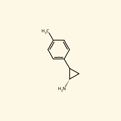 Cc1ccc(C2C[C@@H]2N)cc1